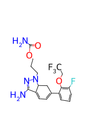 NC(=O)OCCCN1N=C(N)C2=CC=C(c3cccc(F)c3OCC(F)(F)F)CC21